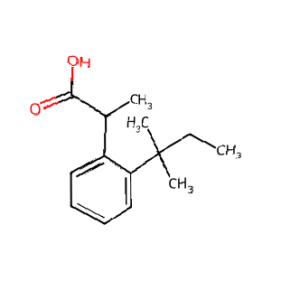 CCC(C)(C)c1ccccc1C(C)C(=O)O